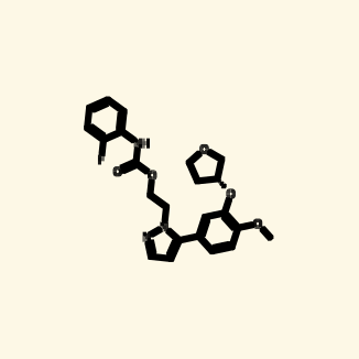 COc1ccc(-c2ccnn2CCOC(=O)Nc2ccccc2F)cc1O[C@@H]1CCOC1